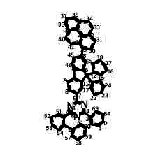 c1ccc(-c2nc(-c3ccc4c(c3)C(c3ccccc3)(c3ccccc3)c3cc(-c5ccc6ccc7cccc8ccc5c6c78)ccc3-4)nc(-c3ccccc3-c3ccccc3)n2)cc1